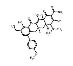 CN(C)[C@@H]1C(O)=C(C(N)=O)C(=O)[C@@]2(O)C(O)=C3C(=O)c4c(O)c(CN)cc(-c5ccc(OC(F)(F)F)cc5)c4C[C@H]3C[C@@H]12